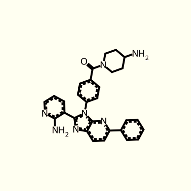 Nc1ncccc1-c1nc2ccc(-c3ccccc3)nc2n1-c1ccc(C(=O)N2CCC(N)CC2)cc1